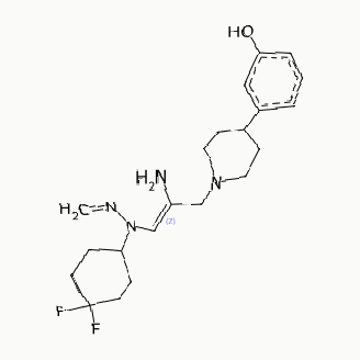 C=NN(/C=C(\N)CN1CCC(c2cccc(O)c2)CC1)C1CCC(F)(F)CC1